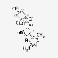 CCCCc1nc2c(N)ncc(C)c2n1CCCS(=O)(=O)c1ccc(Cl)cc1Cl